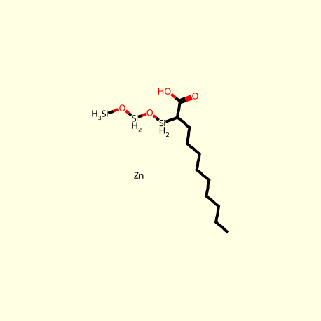 CCCCCCCCCC([SiH2]O[SiH2]O[SiH3])C(=O)O.[Zn]